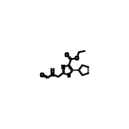 CCOC(=O)c1nc(CNC=O)sc1C1CCCC1